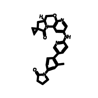 Cc1cc(N2CCCC2=O)ccc1-c1ccc(Nc2cnc3c(c2)N2C(=O)C4(CC4)C[C@H]2CO3)nc1